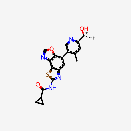 CC[C@@H](O)c1cc(C)c(-c2cc3nc(NC(=O)C4CC4)sc3c3ncoc23)cn1